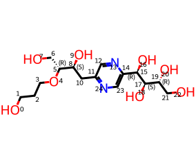 OCCCO[C@H](CO)[C@@H](O)Cc1cnc([C@@H](O)[C@H](O)[C@H](O)CO)cn1